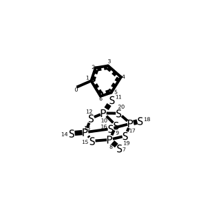 Cc1ccccc1.S=P12SP3(=S)SP(=S)(S1)SP(=S)(S2)S3